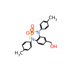 Cc1ccc(N(c2ccc(CO)cc2N(c2ccc(C)cc2)[SH](=O)=O)[SH](=O)=O)cc1